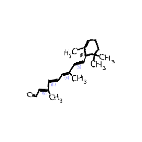 CC1=CCCC(C)(C)[C@H]1/C=C/C(C)=C/C=C/C(C)=C/C=O